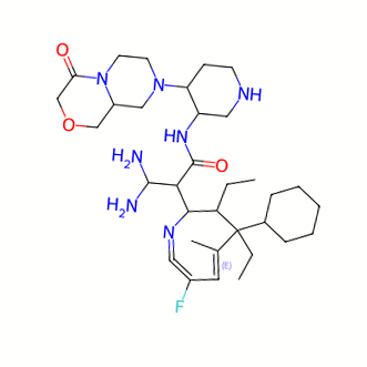 CCC1C(C(C(=O)NC2CNCCC2N2CCN3C(=O)COCC3C2)C(N)N)N=C=C(F)/C=C(\C)C1(CC)C1CCCCC1